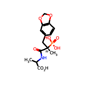 CC(NC(=O)[C@](C)(Cc1ccc2c(c1)OCO2)P(=O)(O)O)C(=O)O